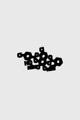 CCCCOc1c(OCCCC)c(OC(=O)c2ccccc2Cl)c2ccc(Cl)cc2c1OC(=O)c1ccc(Cl)cc1O